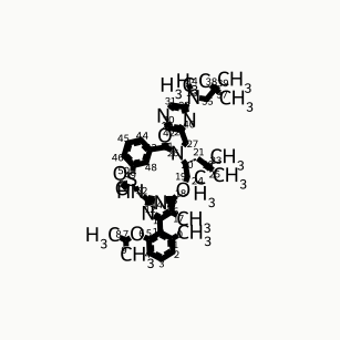 Cc1cccc(OC(C)C)c1-c1nc2nc(c1C)OC[C@@H](CC(C)(C)C)N(Cc1cncc(N(C)CC(C)(C)C)n1)C(=O)c1cccc(c1)S(=O)(=O)N2